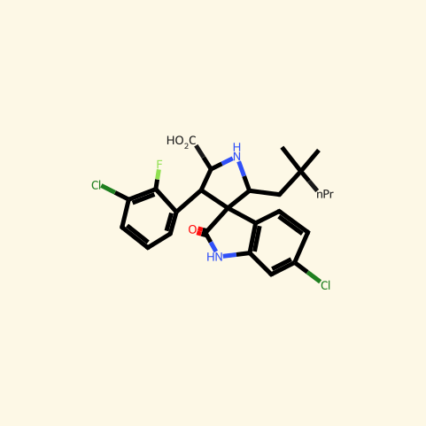 CCCC(C)(C)CC1NC(C(=O)O)C(c2cccc(Cl)c2F)C12C(=O)Nc1cc(Cl)ccc12